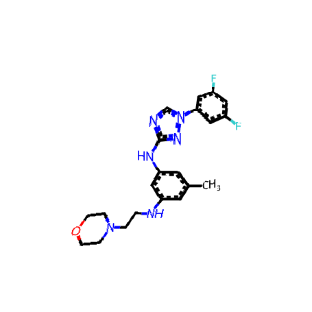 Cc1cc(NCCN2CCOCC2)cc(Nc2ncn(-c3cc(F)cc(F)c3)n2)c1